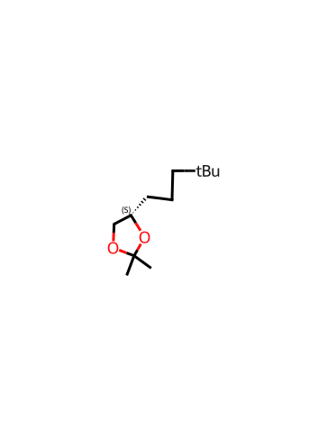 CC(C)(C)CCC[C@H]1COC(C)(C)O1